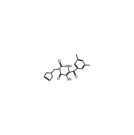 Cc1cc(C)cc(C(=O)c2[nH]c(=O)n(CC3CC=CC3)c(=O)c2C(C)C)c1